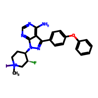 C[N+]1(I)CC[C@@H](n2nc(-c3ccc(Oc4ccccc4)cc3)c3c(N)ncnc32)[C@H](F)C1